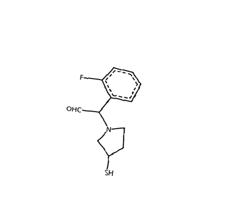 O=CC(c1ccccc1F)N1CCC(S)C1